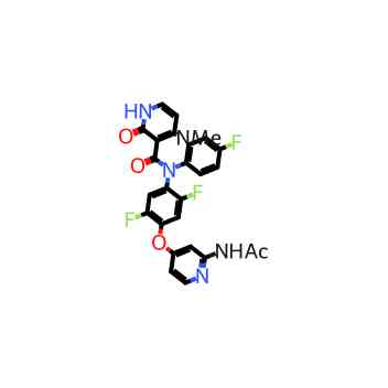 CNc1cc[nH]c(=O)c1C(=O)N(c1ccc(F)cc1)c1cc(F)c(Oc2ccnc(NC(C)=O)c2)cc1F